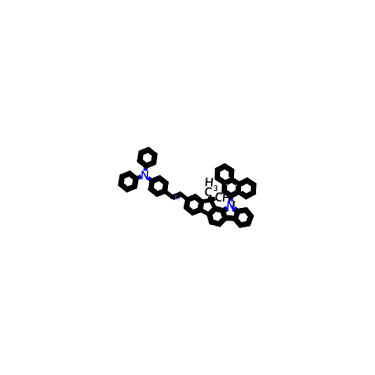 CC1(C)c2cc(/C=C/c3ccc(N(c4ccccc4)c4ccccc4)cc3)ccc2-c2ccc3c4ccccc4n(-c4cc5ccccc5c5ccccc45)c3c21